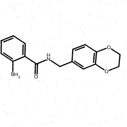 Bc1ccccc1C(=O)NCc1ccc2c(c1)OCCO2